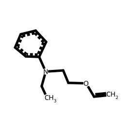 C=COCCN(CC)c1ccccc1